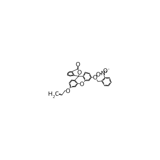 C=CCOc1ccc2c(c1)Oc1cc(OCc3ccccc3[N+](=O)[O-])ccc1C21OC(=O)c2ccccc21